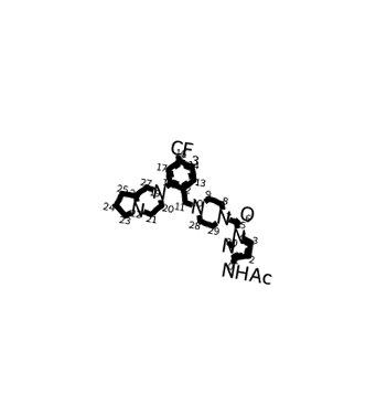 CC(=O)Nc1ccn(C(=O)N2CCN(Cc3ccc(C(F)(F)F)cc3N3CCN4CCCC4C3)CC2)n1